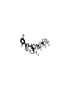 C=CC(C)(C)[C@@H](NC(=O)OC(C)(C)C)c1nc(-c2cc(F)ccc2F)c[nH]1